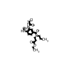 CCCN(CCC(=O)OCC)C(=O)c1ccc(NC)c(NC(=O)CCl)c1